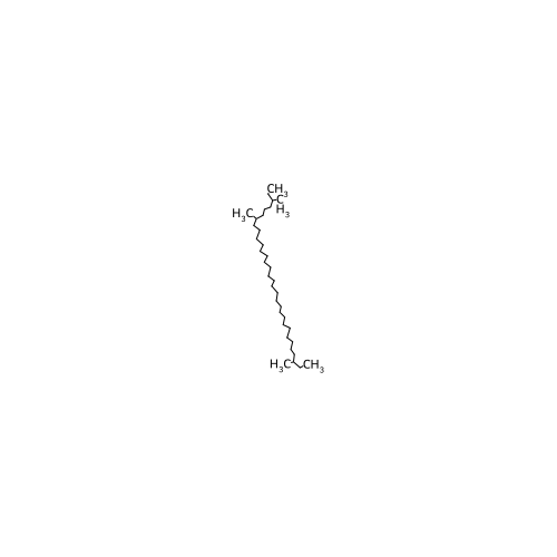 CCC(C)CCCCCCCCCCCCCCCCCCCCCCC(C)CCCC(C)CC